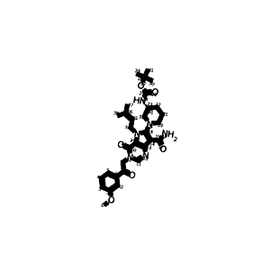 COc1cccc(C(=O)Cn2cnc3c(C(N)=O)c(N4CCC[C@@H](NC(=O)OC(C)(C)C)C4)n(CC=C(C)C)c3c2=O)c1